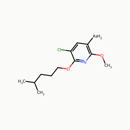 COc1nc(OCCCC(C)C)c(Cl)cc1[AsH2]